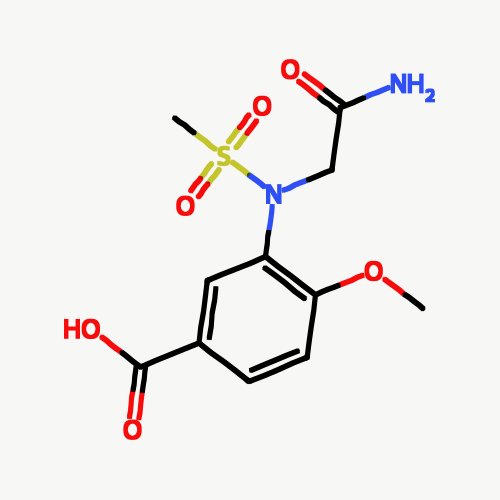 COc1ccc(C(=O)O)cc1N(CC(N)=O)S(C)(=O)=O